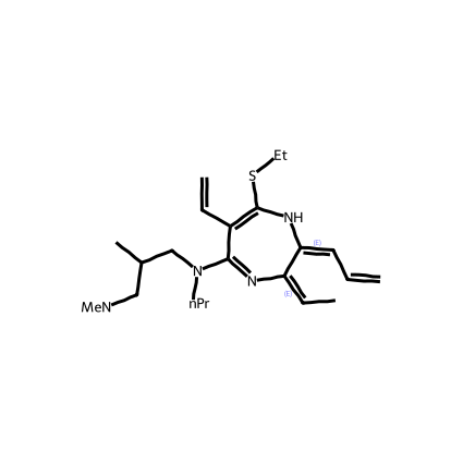 C=C/C=C1/NC(SCC)=C(C=C)C(N(CCC)CC(C)CNC)=N/C1=C/C